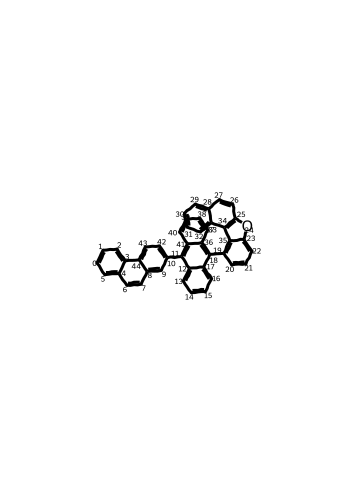 c1ccc2c(c1)ccc1cc(-c3c4ccccc4c(-c4cccc5oc6ccc7ccccc7c6c45)c4ccccc34)ccc12